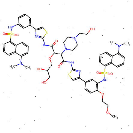 COCCOc1ccc(-c2csc(NC(=O)C(C(OCC(O)CO)C(=O)Nc3nc(-c4cccc(NS(=O)(=O)c5cccc6c(N(C)C)cccc56)c4)cs3)N3CCN(CCO)CC3)n2)cc1NS(=O)(=O)c1cccc2c(N(C)C)cccc12